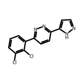 Clc1cccc(-c2ccc(-c3ccn[nH]3)nn2)c1Cl